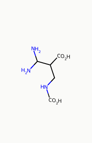 NC(N)C(CNC(=O)O)C(=O)O